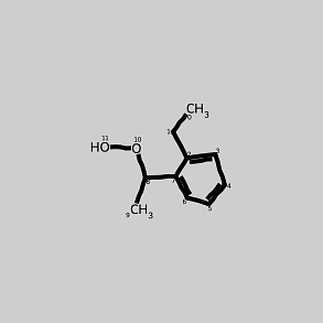 CCc1ccccc1C(C)OO